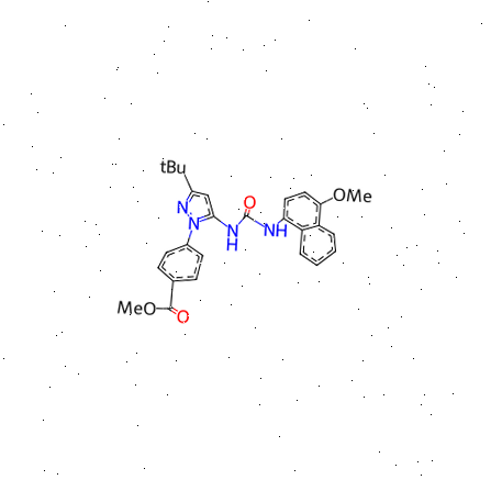 COC(=O)c1ccc(-n2nc(C(C)(C)C)cc2NC(=O)Nc2ccc(OC)c3ccccc23)cc1